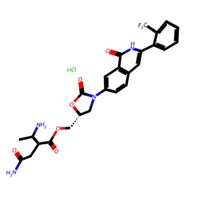 CC(N)C(CC(N)=O)C(=O)OC[C@H]1CN(c2ccc3cc(-c4ccccc4C(F)(F)F)[nH]c(=O)c3c2)C(=O)O1.Cl